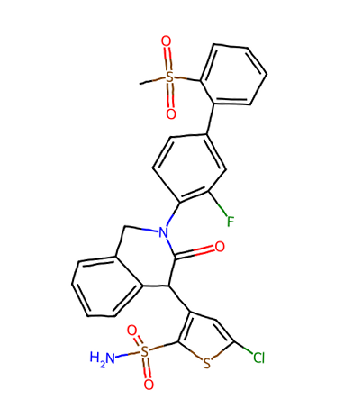 CS(=O)(=O)c1ccccc1-c1ccc(N2Cc3ccccc3C(c3cc(Cl)sc3S(N)(=O)=O)C2=O)c(F)c1